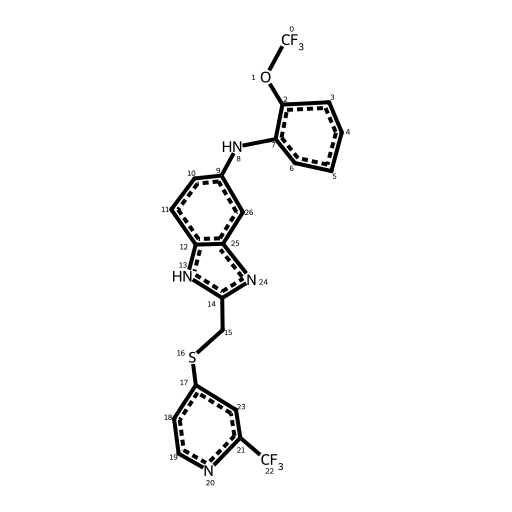 FC(F)(F)Oc1ccccc1Nc1ccc2[nH]c(CSc3ccnc(C(F)(F)F)c3)nc2c1